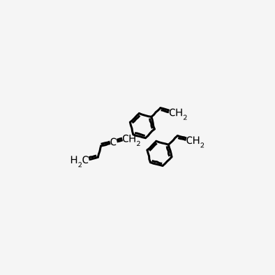 C=C=CC=C.C=Cc1ccccc1.C=Cc1ccccc1